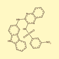 O=[N+]([O-])c1cccc(S(=O)(=O)Nc2nc3ccccc3nc2Nc2ccc3[nH]c4ccccc4c3c2)c1